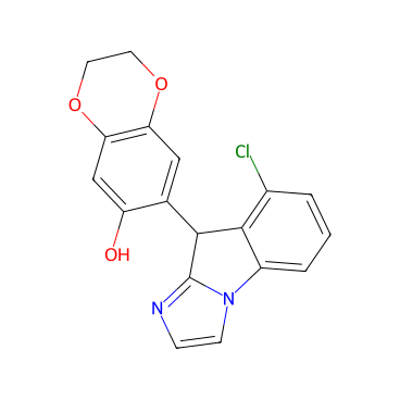 Oc1cc2c(cc1C1c3c(Cl)cccc3-n3ccnc31)OCCO2